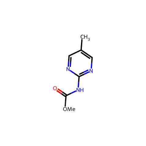 COC(=O)Nc1ncc(C)cn1